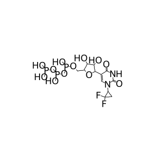 O=c1[nH]c(=O)n(C2CC2(F)F)cc1C1OC(COP(O)OP(O)OP(O)O)C(O)C1O